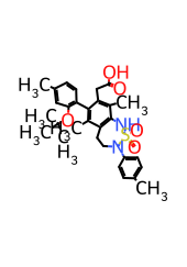 Cc1ccc(N2CCc3c(C)c(-c4ccc(C)cc4OC(C)(C)C)c(CC(=O)O)c(C)c3NS2(=O)=O)cc1